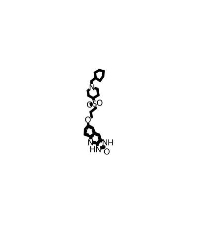 O=c1[nH]c2cc3cc(OCCCS(=O)(=O)C4CCN(CC5CCCCC5)CC4)ccc3nc2[nH]1